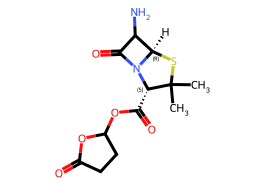 CC1(C)S[C@@H]2C(N)C(=O)N2[C@H]1C(=O)OC1CCC(=O)O1